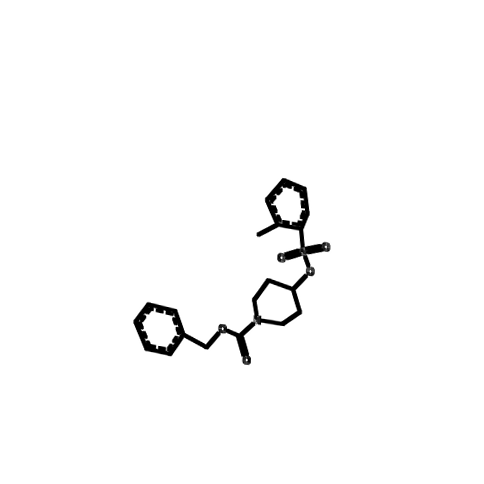 Cc1ccccc1S(=O)(=O)OC1CCN(C(=O)OCc2ccccc2)CC1